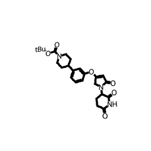 CC(C)(C)OC(=O)N1CCC(c2cccc(OC3=CC(=O)N(C4CCC(=O)NC4=O)C3)c2)CC1